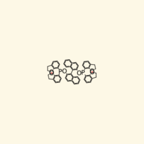 c1cc2c(c(P(Oc3ccc4ccccc4c3-c3c(OP(c4cccc5c4OCC5)c4cccc5c4OCC5)ccc4ccccc34)c3cccc4c3OCC4)c1)OCC2